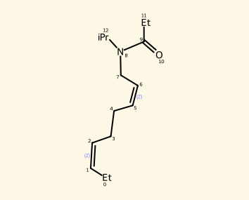 CC/C=C\CC/C=C\CN(C(=O)CC)C(C)C